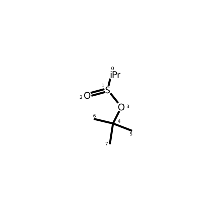 CC(C)S(=O)OC(C)(C)C